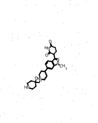 Cn1nc(C2CCC(=O)NC2=O)c2ccc(C3CCN(CC4(O)CCNCC4)CC3)cc21